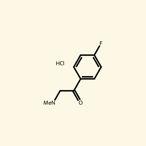 CNCC(=O)c1ccc(F)cc1.Cl